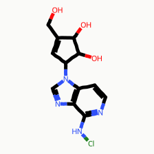 OCC1=CC(n2cnc3c(NCl)nccc32)C(O)C1O